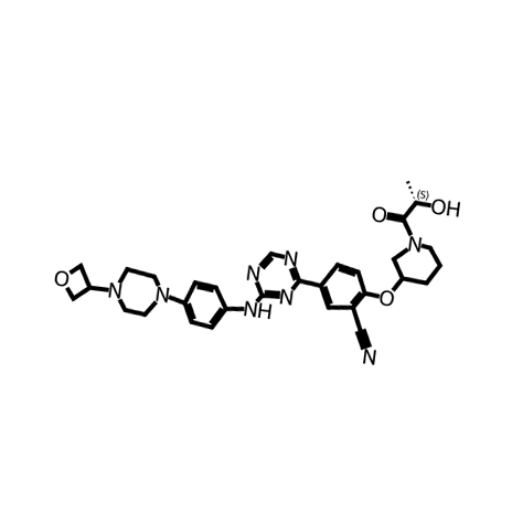 C[C@H](O)C(=O)N1CCCC(Oc2ccc(-c3ncnc(Nc4ccc(N5CCN(C6COC6)CC5)cc4)n3)cc2C#N)C1